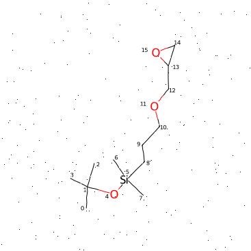 CC(C)(C)O[Si](C)(C)CCCOCC1CO1